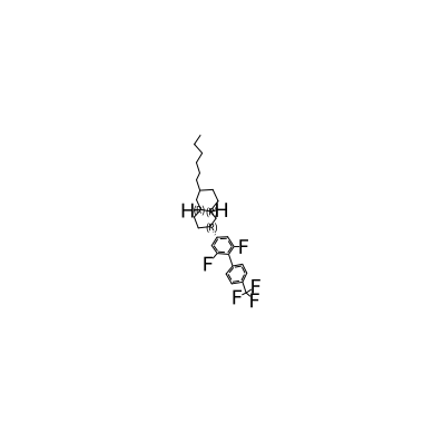 CCCCCCC1CC[C@@H]2C[C@H](c3cc(F)c(-c4ccc(C(F)(F)F)cc4)c(F)c3)CC[C@@H]2C1